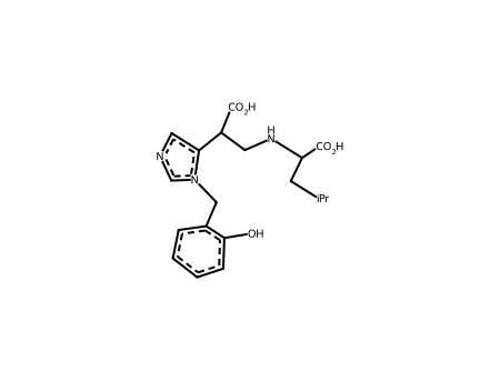 CC(C)CC(NCC(C(=O)O)c1cncn1Cc1ccccc1O)C(=O)O